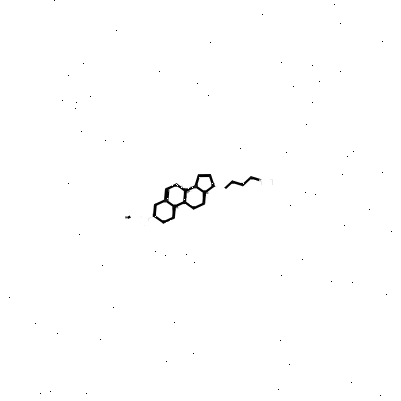 CC(C)CCCC[C@H]1CCC2[C@@H]3CC=C4C[C@@H](OSI)CC[C@]4(C)C3CC[C@@]21C